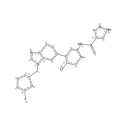 O=C(Nc1cc(-c2ccc3ncn(Cc4cccc(F)c4)c3c2)c(Cl)cn1)c1cn[nH]c1